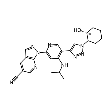 CC(C)Nc1cc(-n2ncc3cc(C#N)cnc32)ncc1-c1cn(C2CCCC[C@H]2O)nn1